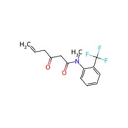 C=CCC(=O)CC(=O)N(C)c1ccccc1C(F)(F)F